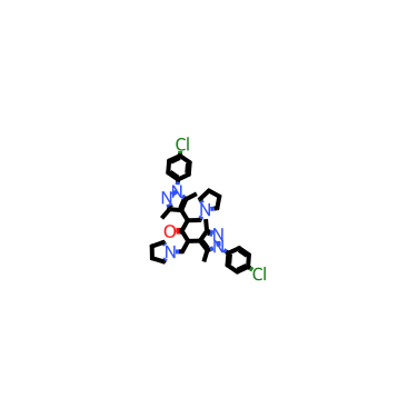 Cc1nn(-c2ccc(Cl)cc2)c(C)c1C(CN1CCCC1)C(=O)C(CN1CCCC1)c1c(C)nn(-c2ccc(Cl)cc2)c1C